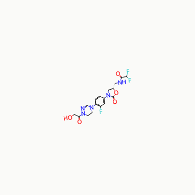 O=C(NC[C@H]1CN(c2ccc(N3C=NN(C(=O)CO)CC3)c(F)c2)C(=O)O1)C(F)F